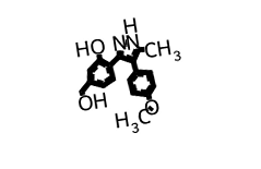 COc1ccc(-c2c(-c3ccc(CO)cc3O)n[nH]c2C)cc1